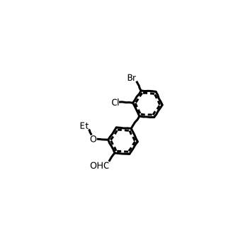 CCOc1cc(-c2cccc(Br)c2Cl)ccc1C=O